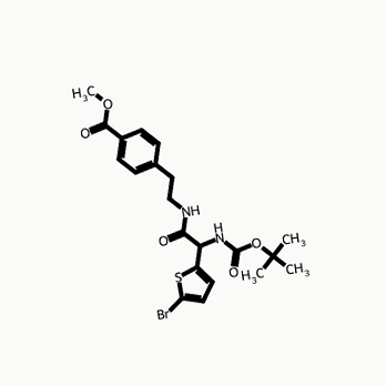 COC(=O)c1ccc(CCNC(=O)C(NC(=O)OC(C)(C)C)c2ccc(Br)s2)cc1